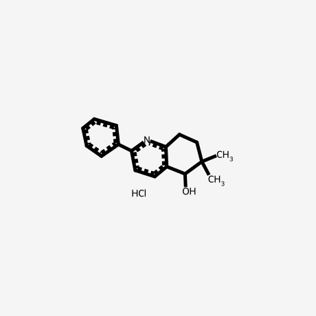 CC1(C)CCc2nc(-c3ccccc3)ccc2C1O.Cl